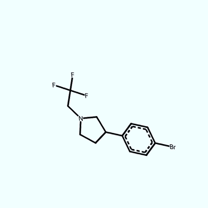 FC(F)(F)CN1CCC(c2ccc(Br)cc2)C1